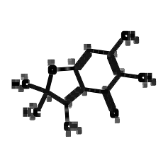 CC1=C(C)C(=O)C2=C(C)C(C)(C)OC2=C1